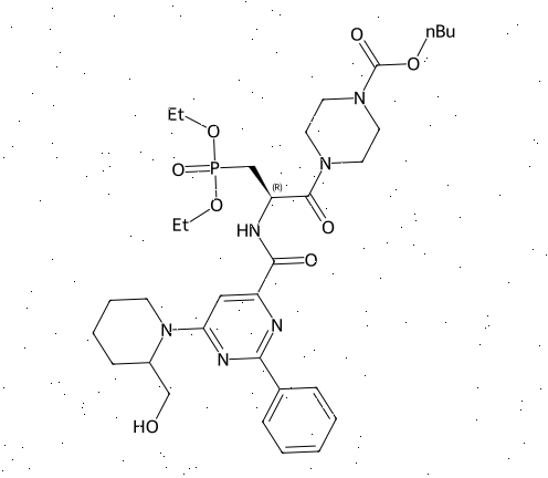 CCCCOC(=O)N1CCN(C(=O)[C@H](CP(=O)(OCC)OCC)NC(=O)c2cc(N3CCCCC3CO)nc(-c3ccccc3)n2)CC1